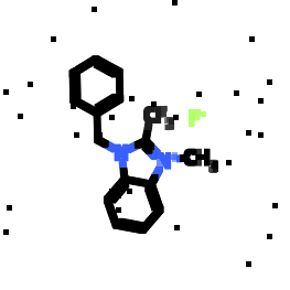 C[n+]1c(C(F)(F)F)n(Cc2ccccc2)c2ccccc21.[F-]